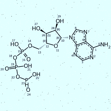 Nc1ncnc2c1ncn2[C@@H]1O[C@H](COP(=O)(O)OP(=O)(O)O[PH](=O)O)[C@@H](O)[C@H]1O